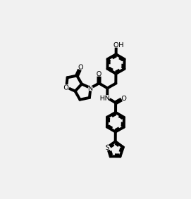 O=C(NC(Cc1ccc(O)cc1)C(=O)N1CCC2OCC(=O)C21)c1ccc(-c2cccs2)cc1